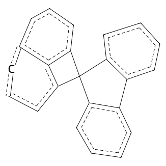 c1ccc2c(c1)-c1ccccc1C21c2cccc3cccc1c23